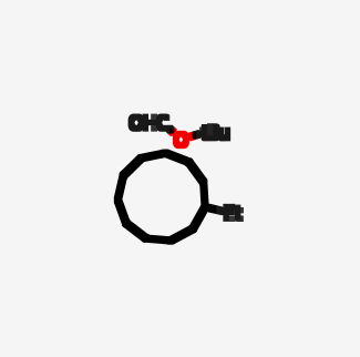 CC(C)(C)OC=O.CCC1CCCCCCCCCC1